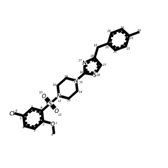 COc1ccc(Cl)cc1S(=O)(=O)N1CCN(c2nc(Cc3ccc(C)cc3)cs2)CC1